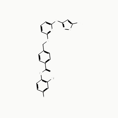 Cc1cc(Nc2cccc(NCc3ccc(C(=O)Nc4ccc(F)cc4N)cc3)n2)n[nH]1